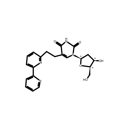 O=c1[nH]c(=O)n([C@H]2C[C@@H](O)[C@@H](CO)O2)cc1CCc1cccc(-c2ccccn2)n1